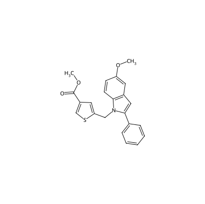 COC(=O)c1csc(Cn2c(-c3ccccc3)cc3cc(OC)ccc32)c1